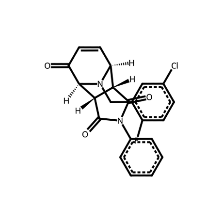 O=C1C=C[C@H]2[C@@H]3C(=O)N(c4ccccc4)C(=O)[C@@H]3[C@@H]1N2Cc1cc(Cl)ccc1F